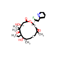 CCC1C(=O)C(C)(C)[C@@H](O)CC(=O)O[C@H](C(F)=Cc2ccccn2)CC2OC2(C)CCC[C@H](C)C1O